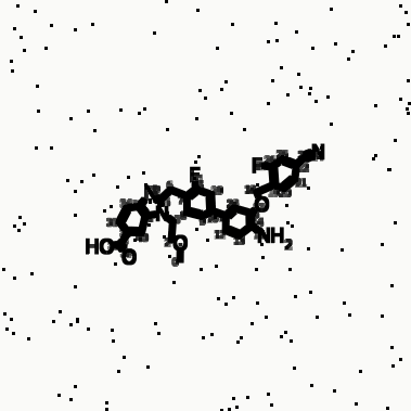 COCCn1c(Cc2ccc(-c3ccc(N)c(OCc4ccc(C#N)cc4F)c3)cc2F)nc2ccc(C(=O)O)cc21